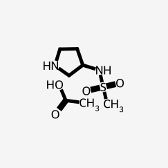 CC(=O)O.CS(=O)(=O)NC1CCNC1